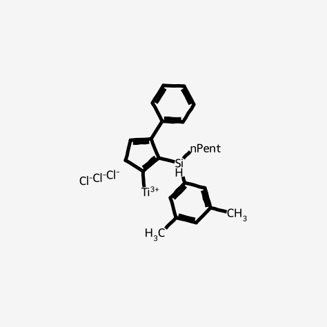 CCCCC[SiH](C1=[C]([Ti+3])CC=C1c1ccccc1)c1cc(C)cc(C)c1.[Cl-].[Cl-].[Cl-]